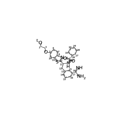 COCCOc1ccc2nc(C(Cc3cccc(C(=N)N)c3)NS(=O)(=O)c3ccccc3)sc2c1